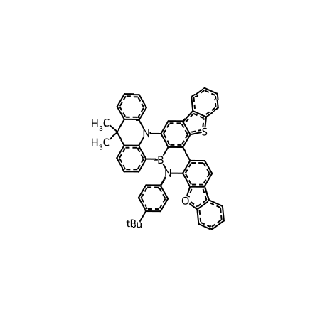 CC(C)(C)c1ccc(N2B3c4cccc5c4N(c4ccccc4C5(C)C)c4cc5c(sc6ccccc65)c(c43)-c3ccc4c(oc5ccccc54)c32)cc1